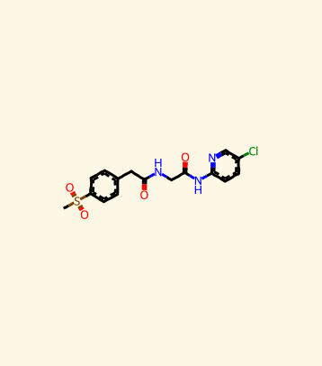 CS(=O)(=O)c1ccc(CC(=O)NCC(=O)Nc2ccc(Cl)cn2)cc1